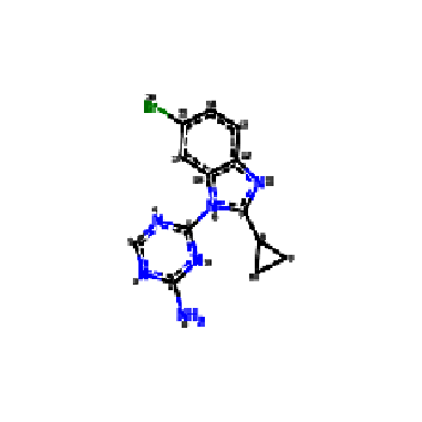 Nc1ncnc(-n2c(C3CC3)nc3ccc(Br)cc32)n1